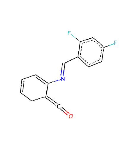 O=C=C1CC=CC=C1N=Cc1ccc(F)cc1F